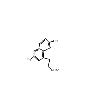 [2H]c1cc(CCNC(C)=O)c2cc(O)ccc2c1